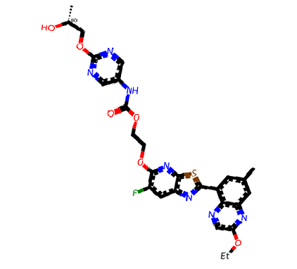 CCOc1cnc2c(-c3nc4cc(F)c(OCCOC(=O)Nc5cnc(OC[C@@H](C)O)nc5)nc4s3)cc(C)cc2n1